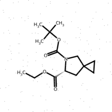 CCOC(=O)[C@H]1CC2(CC2)CN1C(=O)OC(C)(C)C